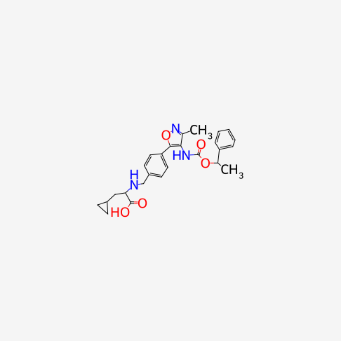 Cc1noc(-c2ccc(CNC(CC3CC3)C(=O)O)cc2)c1NC(=O)OC(C)c1ccccc1